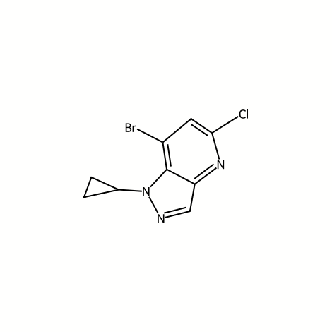 Clc1cc(Br)c2c(cnn2C2CC2)n1